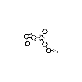 Cc1cccc(-c2ccc(-c3nc(-c4ccccc4)nc(-c4cc5oc6cccc(-c7ccccc7)c6c5cn4)n3)cc2)c1